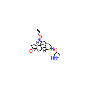 C=CCO/N=C1\CC2CC3C(C[C@]2(C)[C@H]2CC[C@]4(C)C(=O)CC[C@H]4[C@H]12)N3O[C@@H]1CCNC1